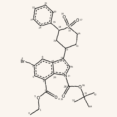 CCOC(=O)c1cc(Br)cc2c(C3CCS(=O)(=O)C(c4ccccc4)C3)cn(C(=O)OC(C)(C)C)c12